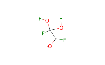 [O]C(F)C(F)(OF)OF